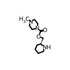 CN1CCN(C(=O)OC[C@@H]2CCCCN2)CC1